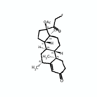 CC(=O)O[C@]1(C(=O)CF)CC[C@H]2[C@@H]3C[C@@H](C)C4=CC(=O)CC[C@]4(C)[C@H]3CC[C@@]21C